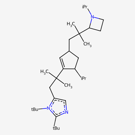 CC(C)C1CC(CC(C)(C)C2CCN2C(C)C)C=C1C(C)(C)Cc1cnc(C(C)(C)C)n1C(C)(C)C